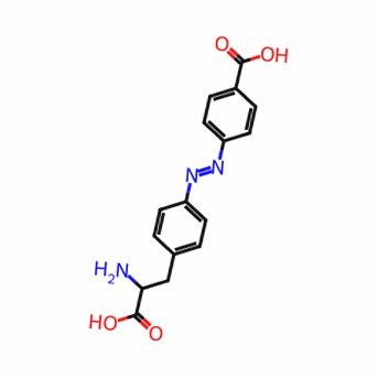 NC(Cc1ccc(N=Nc2ccc(C(=O)O)cc2)cc1)C(=O)O